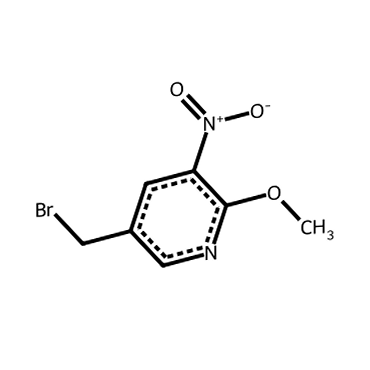 COc1ncc(CBr)cc1[N+](=O)[O-]